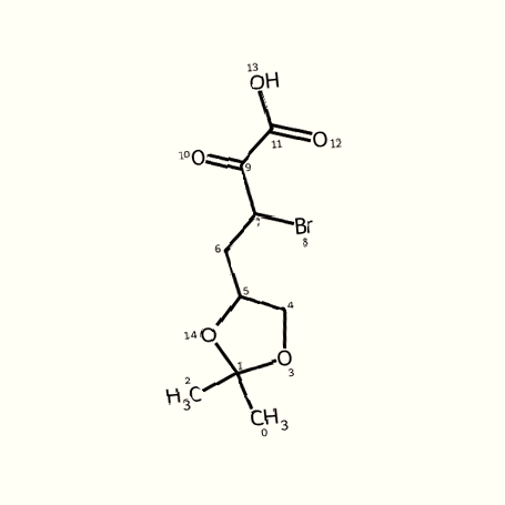 CC1(C)OCC(CC(Br)C(=O)C(=O)O)O1